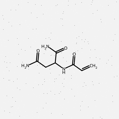 C=CC(=O)NC(CC(N)=O)C(N)=O